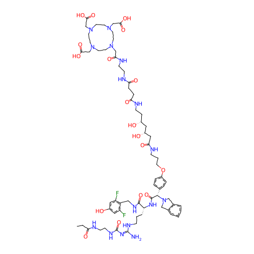 CCC(=O)NCCNC(=O)/N=C(/N)NCCC[C@@H](NC(=O)[C@H](c1ccc(OCCCNC(=O)C[C@H](O)C[C@H](O)CCNC(=O)CCC(=O)NCCNC(=O)CN2CCN(CC(=O)O)CCN(CC(=O)O)CCN(CC(=O)O)CC2)cc1)N1Cc2ccccc2C1)C(=O)NCc1c(F)cc(O)cc1F